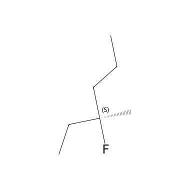 CCC[C@@](C)(F)CC